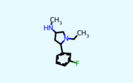 CCN1CC(NC)CC1c1cccc(F)c1